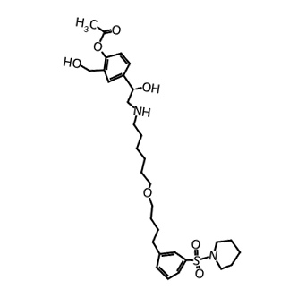 CC(=O)Oc1ccc([C@@H](O)CNCCCCCCOCCCCc2cccc(S(=O)(=O)N3CCCCC3)c2)cc1CO